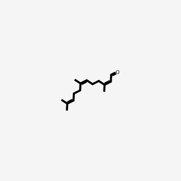 CC(C)=CCC/C(C)=C\CC/C(C)=C\C=O